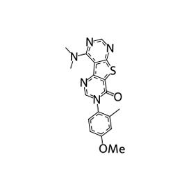 COc1ccc(-n2cnc3c(sc4ncnc(N(C)C)c43)c2=O)c(C)c1